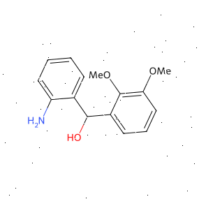 COc1cccc(C(O)c2ccccc2N)c1OC